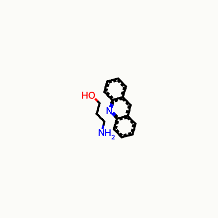 NCCCO.c1ccc2nc3ccccc3cc2c1